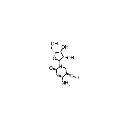 NC1=NC(=O)N([C@@H]2O[C@H](CO)[C@@H](O)[C@H]2O)CC1=C=O